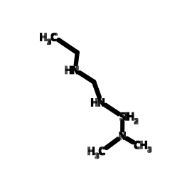 CCNCN[SiH2]N(C)C